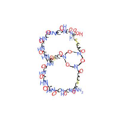 N[C@H]1CSCCC(=O)N2CCOCCN3CCOCCN(CCOCC2)C(=O)CCSC[C@H](NC(=O)CNC(=O)CNC(=O)CNC(=O)CNC(=O)CNC1=O)C(=O)NCC(=O)NCC(=O)NCC(=O)NCC(=O)NCC(=O)N[C@H](C(=O)O)CSCCC3=O